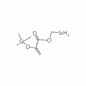 C=C(O[Si](C)(C)C)C(=O)OC[SiH3]